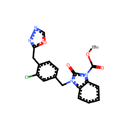 CC(C)(C)OC(=O)n1c(=O)n(Cc2ccc(Cc3nnco3)c(Cl)c2)c2ccccc21